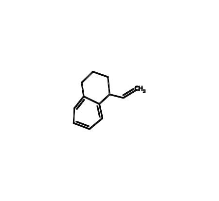 C=CC1CCCc2ccccc21